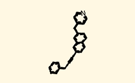 C(#Cc1ccc2ccc(Cc3ccncc3)cc2c1)Cc1ccccc1